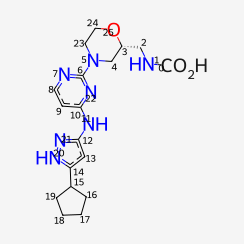 O=C(O)NC[C@@H]1CN(c2nccc(Nc3cc(C4CCCC4)[nH]n3)n2)CCO1